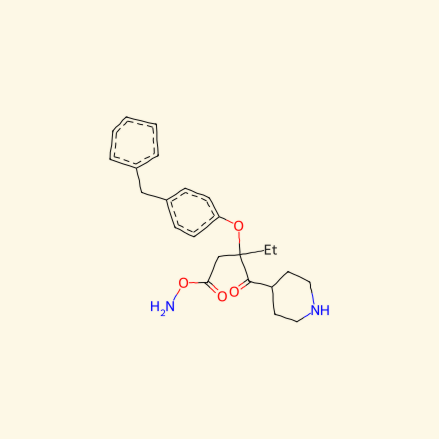 CCC(CC(=O)ON)(Oc1ccc(Cc2ccccc2)cc1)C(=O)C1CCNCC1